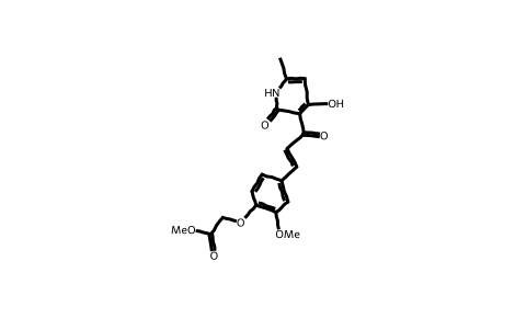 COC(=O)COc1ccc(/C=C/C(=O)c2c(O)cc(C)[nH]c2=O)cc1OC